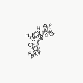 C=CC(=O)N1C[C@@H](n2nc(C#Cc3cc4ncn(C(F)F)c4cc3Cl)c(C(N)=O)c2NC)C[C@@H]1COC